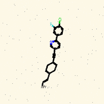 CCCC=CC1CCC(C#Cc2ccc(-c3ccc(Cl)c(F)c3)nc2)CC1